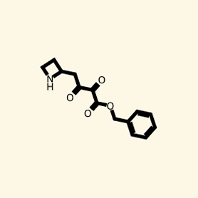 O=C(CC1CCN1)C(=O)C(=O)OCc1ccccc1